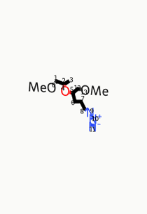 COCC(C)OC(CCCN=[N+]=[N-])COC